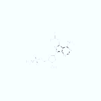 Nc1ncnc2c1c(OC(F)F)nn2[C@H]1C[C@H](O)[C@@H](COS(N)(=O)=O)O1